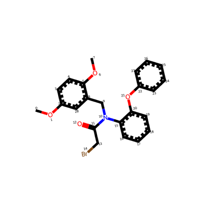 COc1ccc(OC)c(CN(C(=O)CBr)c2ccccc2Oc2ccccc2)c1